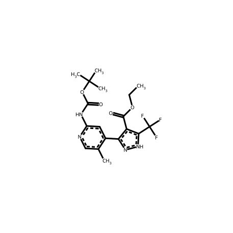 CCOC(=O)c1c(-c2cc(NC(=O)OC(C)(C)C)ncc2C)n[nH]c1C(F)(F)F